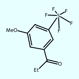 CCC(=O)c1cc(OC)cc(S(F)(F)(F)(F)F)c1